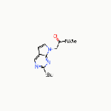 CNC(=O)Cn1ccc2cnc(C(C)(C)C)nc21